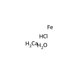 Cl.O.[CaH2].[Fe]